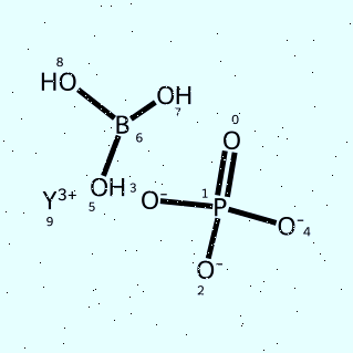 O=P([O-])([O-])[O-].OB(O)O.[Y+3]